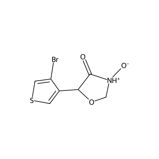 O=C1C(c2cscc2Br)OC[NH+]1[O-]